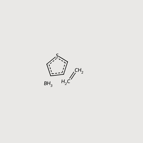 B.C=C.c1ccsc1